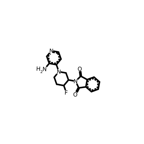 Nc1cnccc1N1CCC(F)C(N2C(=O)c3ccccc3C2=O)C1